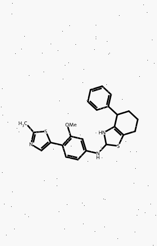 COc1cc(NC2NC3=C(CCCC3c3ccccc3)S2)ccc1-c1cnc(C)s1